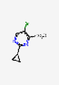 CCOC(=O)c1nc(C2CC2)ncc1Br